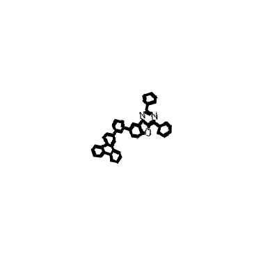 C1=CCC(c2nc(-c3ccccc3)nc3c2oc2ccc(-c4cccc(-c5ccc6c7ccccc7c7ccccc7c6c5)c4)cc23)C=C1